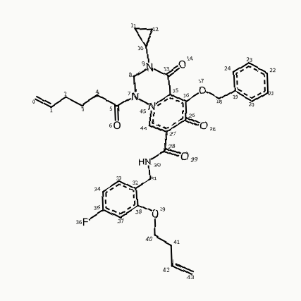 C=CCCCC(=O)N1CN(C2CC2)C(=O)c2c(OCc3ccccc3)c(=O)c(C(=O)NCc3ccc(F)cc3OCCC=C)cn21